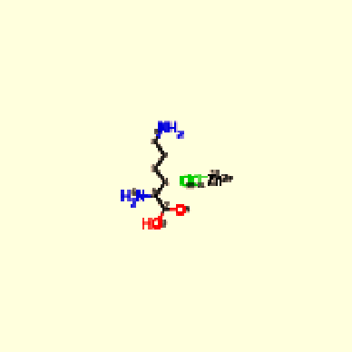 NCCCC[C@H](N)C(=O)O.[Cl-].[Cl-].[Zn+2]